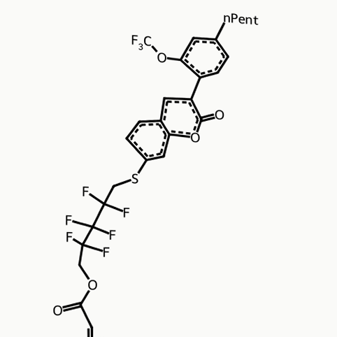 C=CC(=O)OCC(F)(F)C(F)(F)C(F)(F)CSc1ccc2cc(-c3ccc(CCCCC)cc3OC(F)(F)F)c(=O)oc2c1